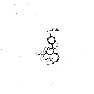 CCCCOc1ccc(S(=O)(=O)C2=CC=CS[N+](C)(C)C2C(=O)NO)cc1